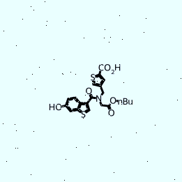 CCCCOC(=O)CN(Cc1csc(C(=O)O)c1)C(=O)c1csc2cc(O)ccc12